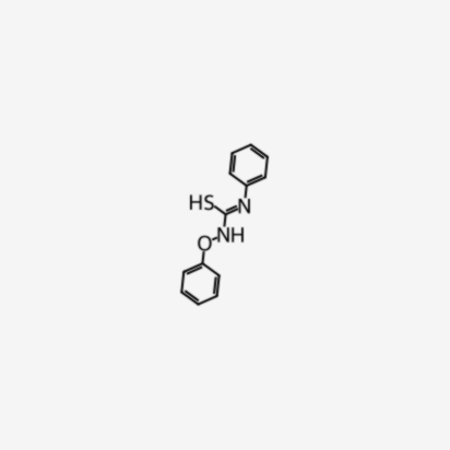 SC(=Nc1ccccc1)NOc1ccccc1